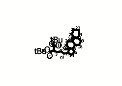 C[C@H](CCC(C(=O)OC(C)(C)C)C(=O)OC(C)(C)C)C1CCC2C3CCC4CCCCC4(C)C3CCC21C